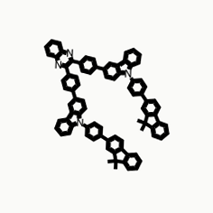 CC1(C)c2ccccc2-c2ccc(-c3ccc(-n4c5ccccc5c5cc(-c6ccc(-c7nc8ccccc8nc7-c7ccc(-c8ccc9c(c8)c8ccccc8n9-c8ccc(-c9ccc%10c(c9)C(C)(C)c9ccccc9-%10)cc8)cc7)cc6)ccc54)cc3)cc21